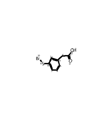 O=C(O)Cc1cccc(SBr)c1